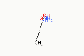 CCCCCCCCCCCCCCCCCCNC(=O)[C@@H](N)CO